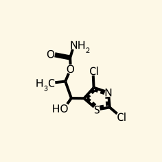 CC(OC(N)=O)C(O)c1sc(Cl)nc1Cl